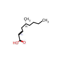 CCCC[C@@H](C)C/C=C/C(=O)O